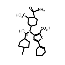 CC1CCC([C@@H](O)N(c2cc(C3=CCCCC3)sc2C(=O)O)C2CCC(C(N)=O)C(C(=O)O)C2)CC1